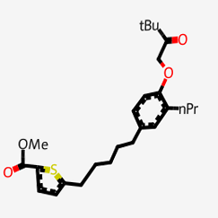 CCCc1cc(CCCCCc2ccc(C(=O)OC)s2)ccc1OCC(=O)C(C)(C)C